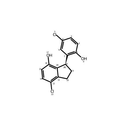 Oc1ccc(Cl)cc1[C@H]1CCc2c(Cl)ccc(O)c21